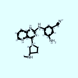 CNC1CCN(c2nc(Nc3cc(N)cc(C#N)c3)nc3cccnc23)C1